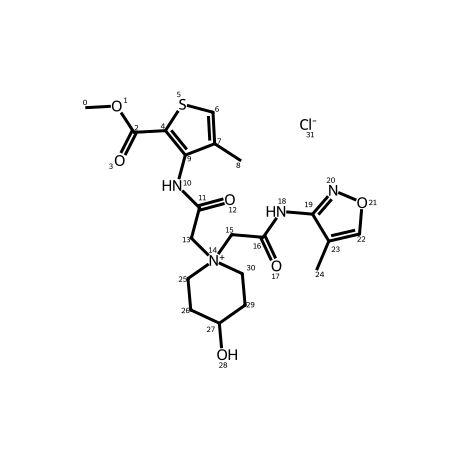 COC(=O)c1scc(C)c1NC(=O)C[N+]1(CC(=O)Nc2nocc2C)CCC(O)CC1.[Cl-]